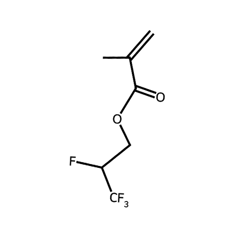 C=C(C)C(=O)OCC(F)C(F)(F)F